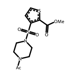 COC(=O)c1sccc1S(=O)(=O)N1CCN(C(C)=O)CC1